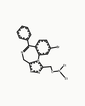 CCN(CC)OCc1nnc2n1-c1cc(Br)ccc1C(c1ccccc1)=NC2